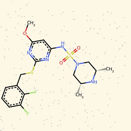 COc1cc(NS(=O)(=O)N2C[C@@H](C)N[C@@H](C)C2)nc(SCc2cccc(F)c2F)n1